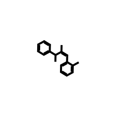 CC(=Cc1ccccc1C)C(C)c1ccccc1